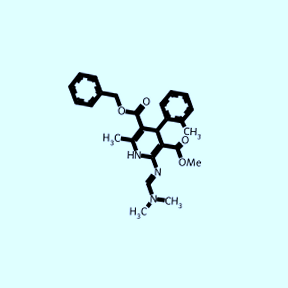 COC(=O)C1=C(N=CN(C)C)NC(C)=C(C(=O)OCc2ccccc2)C1c1ccccc1C